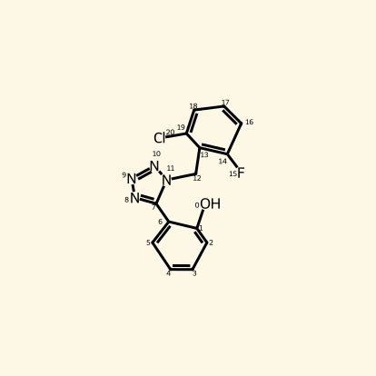 Oc1ccccc1-c1nnnn1Cc1c(F)cccc1Cl